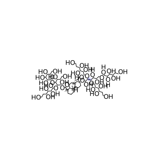 C=C1C[C@@]23CCC4[C@](C)(C(=O)OC(O)C(OC(O)C(O)C(O)C(O)CCO)C(OC5OC(CO)C(O)C(O)C5O)C(O)CCO)CCC[C@@]4(C)[C@@H]2CCC1(OC(O)/C(OC(O)C(O)C(O)C(O)CCO)=C(\OC(O)C(O)C(O)C(O)CCO)C(O)CCOC(O)C(O)C(O)C(O)CCO)C3